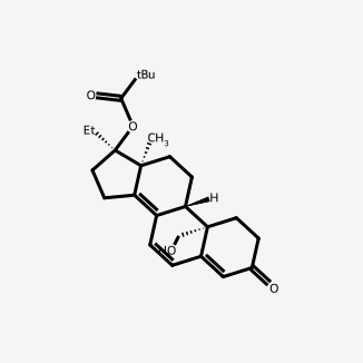 CC[C@@]1(OC(=O)C(C)(C)C)CCC2=C3C=CC4=CC(=O)CC[C@]4(CO)[C@H]3CC[C@@]21C